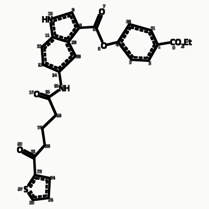 CCOC(=O)c1ccc(OC(=O)c2c[nH]c3ccc(NC(=O)CCCC(=O)c4cccs4)cc23)cc1